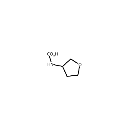 O=C(O)NC1CCOC1